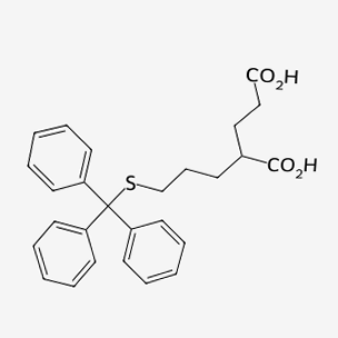 O=C(O)CCC(CCCSC(c1ccccc1)(c1ccccc1)c1ccccc1)C(=O)O